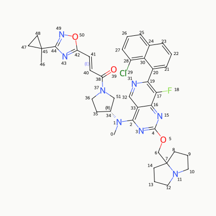 CN(c1nc(OCC23CCCN2CCC3)nc2c(F)c(-c3cccc4cccc(Cl)c34)ncc12)[C@@H]1CCN(C(=O)/C=C/c2nc(C3(C)CC3)no2)C1